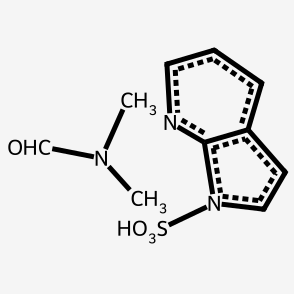 CN(C)C=O.O=S(=O)(O)n1ccc2cccnc21